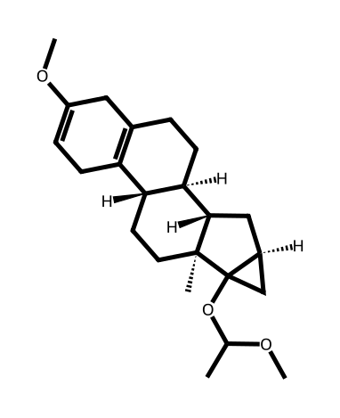 COC1=CCC2=C(CC[C@@H]3[C@@H]2CC[C@@]2(C)[C@H]3C[C@H]3CC32OC(C)OC)C1